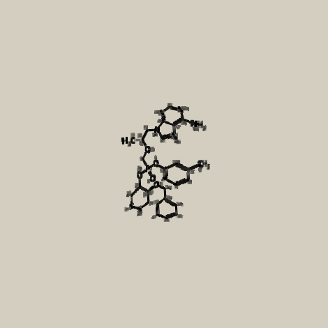 Cc1cccc(OP(=O)(CO[C@H](C)Cn2cnc3c(N)ncnc32)OC2CSSC[C@@H]2OCc2ccccc2)c1